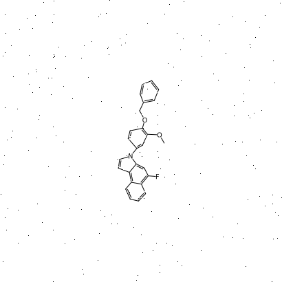 COc1cc(-n2[c]cc3c4ccccc4c(F)cc32)ccc1OCc1ccccc1